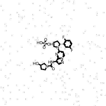 O=C(Nc1cnn2ccc(N3CCC[C@@H]3c3cc(F)ccc3F)nc12)N1CCC(O)C1.O=S(=O)(O)O